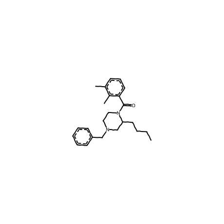 CCCCC1CN(Cc2ccccc2)CCN1C(=O)c1cccc(C)c1C